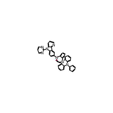 c1ccc(N2c3ccccc3[Si]3(c4ccccc42)c2ccccc2N(c2ccc4c(c2)c2ncccc2n4-c2ncccn2)c2ccccc23)cc1